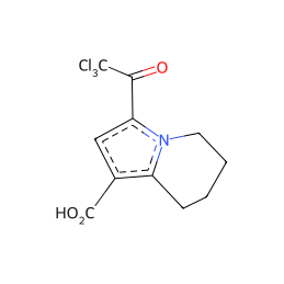 O=C(O)c1cc(C(=O)C(Cl)(Cl)Cl)n2c1CCCC2